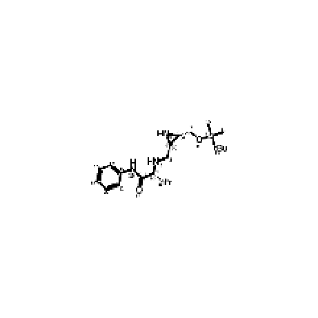 CC(C)[C@@H](NC[C@H]1N[C@@H]1CO[Si](C)(C)C(C)(C)C)C(=O)Nc1ccccc1